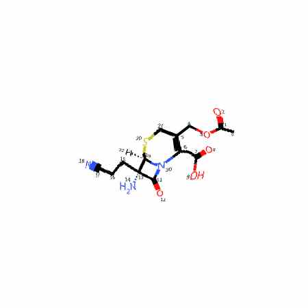 CC(=O)OCC1=C(C(=O)O)N2C(=O)[C@@](N)(CCC#N)[C@H]2SC1